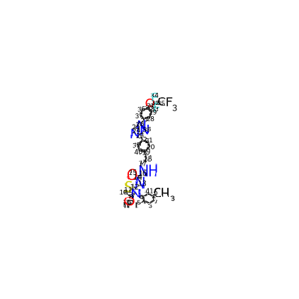 Cc1ccc(C(C)C)c(N2C(=O)CS/C2=N\C(=O)NCCc2ccc(-c3ncn(-c4ccc(OC(F)(F)C(F)(F)F)cc4)n3)cc2)c1